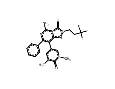 Cc1cc(-c2c(-c3ccccc3)nc(N)n3c(=O)n(CCC(F)(F)F)nc23)cn(C)c1=O